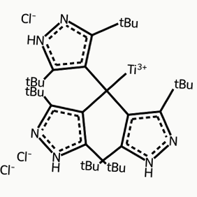 CC(C)(C)c1n[nH]c(C(C)(C)C)c1[C]([Ti+3])(c1c(C(C)(C)C)n[nH]c1C(C)(C)C)c1c(C(C)(C)C)n[nH]c1C(C)(C)C.[Cl-].[Cl-].[Cl-]